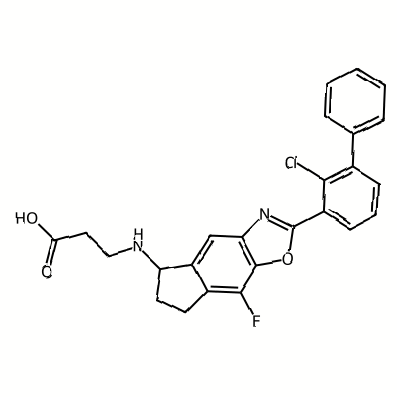 O=C(O)CCNC1CCc2c1cc1nc(-c3cccc(-c4ccccc4)c3Cl)oc1c2F